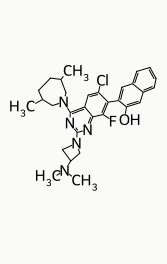 CC1CCC(C)CN(c2nc(N3CC(N(C)C)C3)nc3c(F)c(-c4cc5ccccc5cc4O)c(Cl)cc23)C1